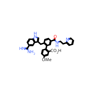 COc1ccc(-c2cc(C(=O)NCCc3ccccn3)ccc2Cc2c[nH]c3ccc(C(=N)N)cc23)c(C(=O)O)c1